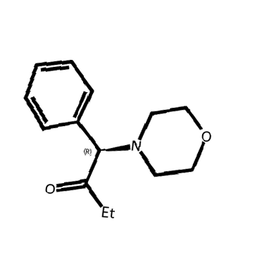 CCC(=O)[C@@H](c1ccccc1)N1CCOCC1